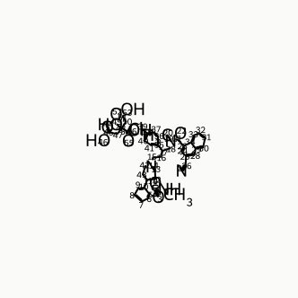 CNS(=O)(=O)c1ccccc1C1CCN(CCC(CN(C)C(=O)c2cc(C#N)cc3ccccc23)c2ccc(Cl)cc2)CC1.O=C(O)CC(O)(CC(=O)O)C(=O)O